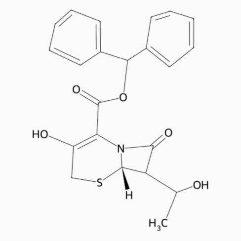 CC(O)C1C(=O)N2C(C(=O)OC(c3ccccc3)c3ccccc3)=C(O)CS[C@@H]12